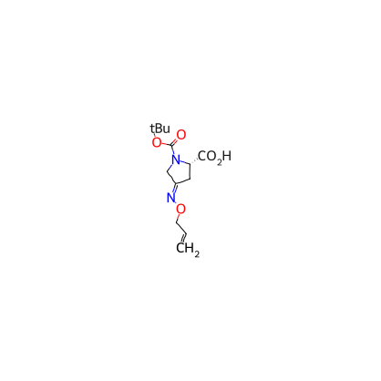 C=CCO/N=C1\C[C@@H](C(=O)O)N(C(=O)OC(C)(C)C)C1